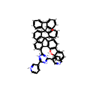 c1cncc(-c2nc(-c3cccnc3)nc(-c3cccc4c3-c3c(ccc5c3oc3ccccc35)C43c4ccccc4C4(c5ccccc5-c5ccccc54)c4ccccc43)n2)c1